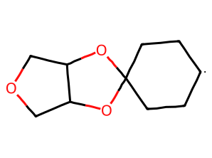 [CH]1CCC2(CC1)OC1COCC1O2